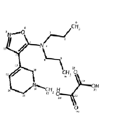 CCCN(CCC)c1oncc1C1=CCCN(C)C1.O=C(O)C(=O)O